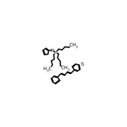 C(C=Cc1ccccc1)=Cc1ccccc1.CCCCCP(CCCCC)(CCCCC)=NC1=CC=CC1.[Ti]